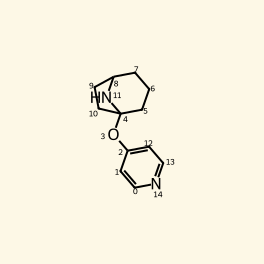 c1cc(OC23CCCC(CC2)N3)ccn1